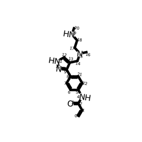 C=CC(=O)Nc1ccc(-c2n[nH]cc2CN(C)CCNC)cc1